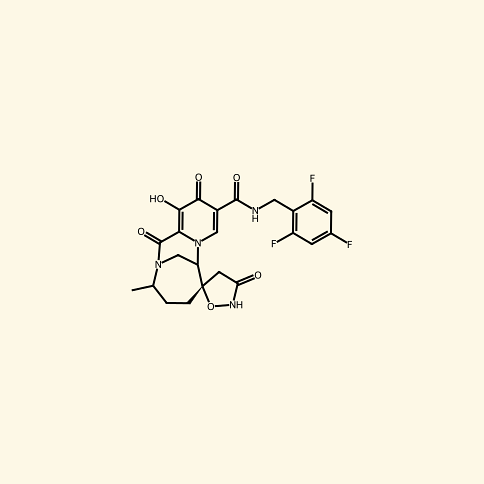 CC1CC[C@]2(CC(=O)NO2)C2CN1C(=O)c1c(O)c(=O)c(C(=O)NCc3c(F)cc(F)cc3F)cn12